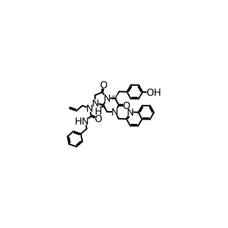 C=CCN(C(=O)NCc1ccccc1)N1CC(=O)N2[C@@H](Cc3ccc(O)cc3)C(=O)N(Cc3ccc4ccccc4n3)C[C@@H]21